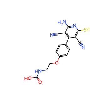 N#Cc1c(N)nc(S)c(C#N)c1-c1ccc(OCCNC(=O)O)cc1